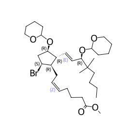 CCCCC(C)(C)[C@@H](/C=C/[C@@H]1[C@@H](C/C=C\CCCC(=O)OC)[C@@H](Br)C[C@H]1OC1CCCCO1)OC1CCCCO1